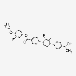 C=CCOc1ccc(OC(=O)c2ccc(-c3ccc(-c4ccc(C(C)O)cc4)c(F)c3F)cc2)cc1F